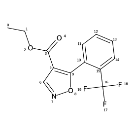 CCOC(=O)c1cnoc1-c1ccccc1C(F)(F)F